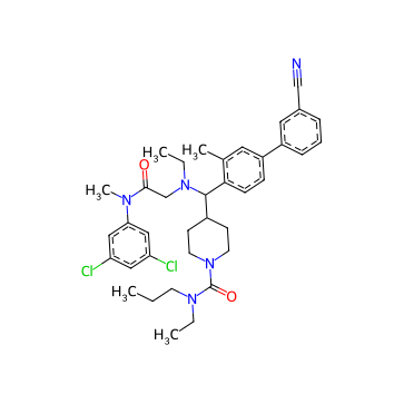 CCCN(CC)C(=O)N1CCC(C(c2ccc(-c3cccc(C#N)c3)cc2C)N(CC)CC(=O)N(C)c2cc(Cl)cc(Cl)c2)CC1